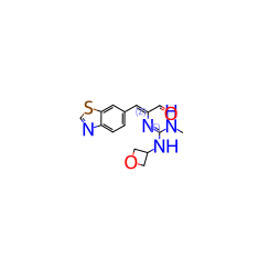 CN/C(=N\C(C=O)=C/c1ccc2ncsc2c1)NC1COC1